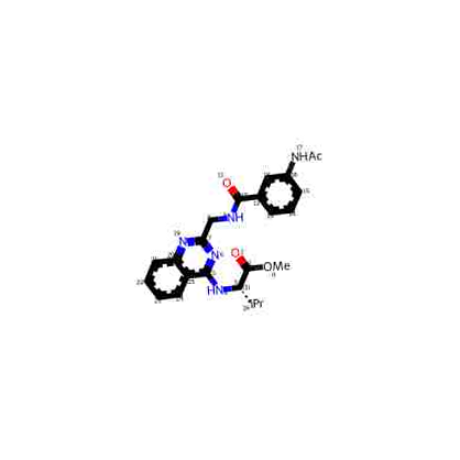 COC(=O)[C@@H](Nc1nc(CNC(=O)c2cccc(NC(C)=O)c2)nc2ccccc12)C(C)C